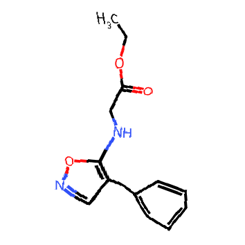 CCOC(=O)CNc1oncc1-c1ccccc1